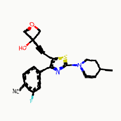 CC1CCN(c2nc(-c3ccc(C#N)c(F)c3)c(C#CC3(O)COC3)s2)CC1